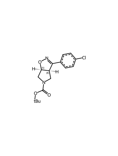 CC(C)(C)OC(=O)N1C[C@@H]2C(c3ccc(Cl)cc3)=NO[C@@H]2C1